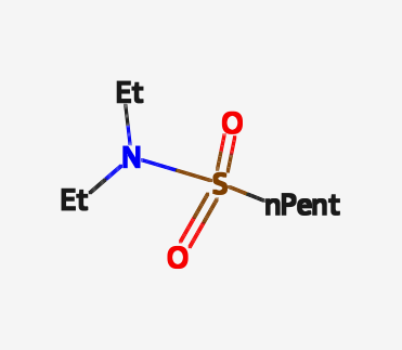 CCCCCS(=O)(=O)N(CC)CC